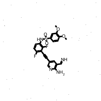 COc1ccc(S(=O)(=O)Nc2ccc(F)c(C#Cc3cnc(N)c(C=N)c3)c2F)cc1OC